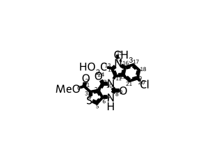 COC(=O)c1scc2[nH]c(=O)n(-c3c(C(=O)O)n(C)c4ccc(Cl)cc34)c(=O)c12